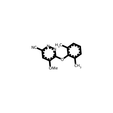 COc1cc(C#N)nnc1Oc1c(C)cccc1C